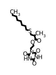 CCCCCCCCSCC(C)C(=O)OCCn1c(=O)[nH]c(=O)[nH]c1=O